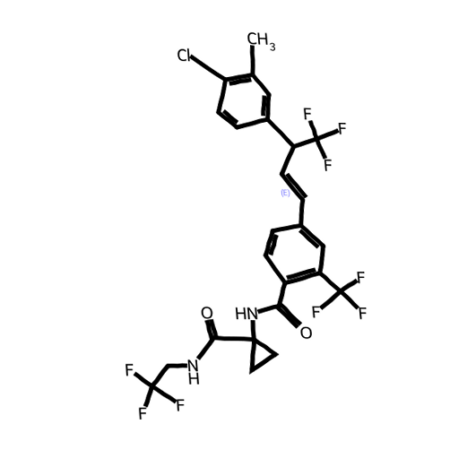 Cc1cc(C(/C=C/c2ccc(C(=O)NC3(C(=O)NCC(F)(F)F)CC3)c(C(F)(F)F)c2)C(F)(F)F)ccc1Cl